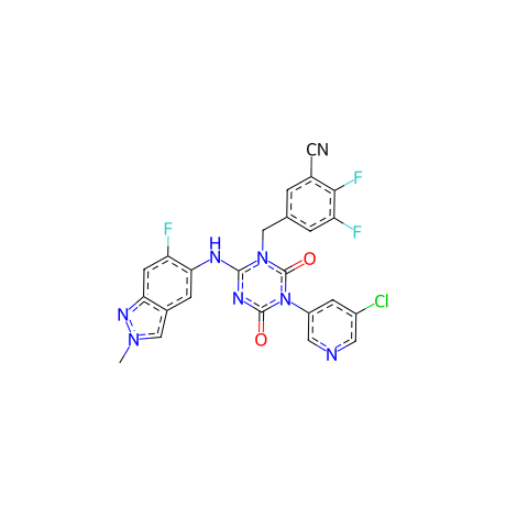 Cn1cc2cc(Nc3nc(=O)n(-c4cncc(Cl)c4)c(=O)n3Cc3cc(F)c(F)c(C#N)c3)c(F)cc2n1